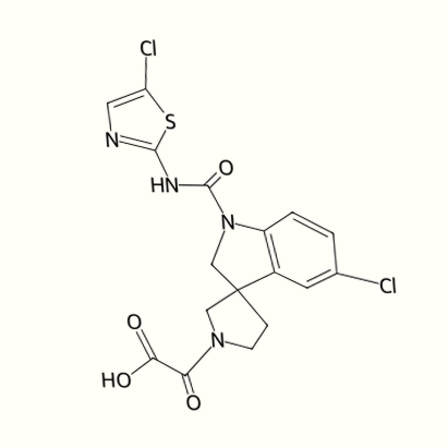 O=C(O)C(=O)N1CCC2(C1)CN(C(=O)Nc1ncc(Cl)s1)c1ccc(Cl)cc12